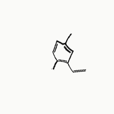 [CH2]c1ccc(C)cc1C=C